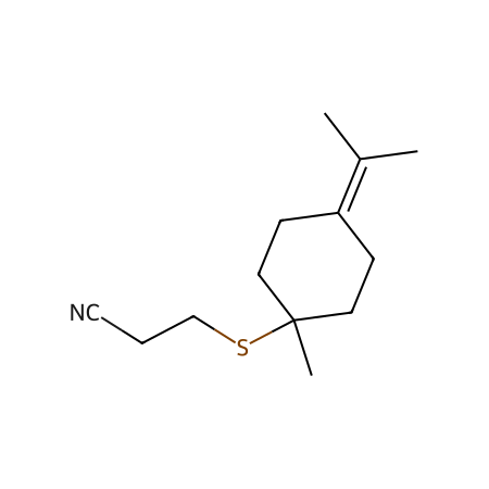 CC(C)=C1CCC(C)(SCCC#N)CC1